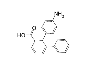 Nc1ccc(-c2c(C(=O)O)cccc2-c2ccccc2)cc1